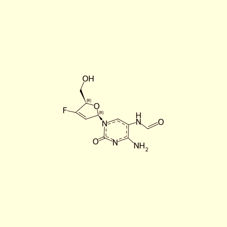 Nc1nc(=O)n([C@H]2C=C(F)[C@@H](CO)O2)cc1NC=O